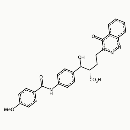 COc1ccc(C(=O)Nc2ccc(C(O)[C@H](CCn3nnc4ccccc4c3=O)C(=O)O)cc2)cc1